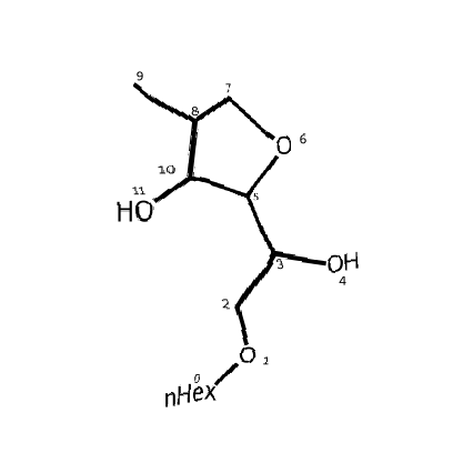 CCCCCCOCC(O)C1OCC(C)C1O